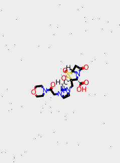 C[C@@]1(Cn2cc[n+](CC(=O)N3CCOCC3)n2)[C@@H](C(=O)O)N2C(=O)C[C@H]2S1(=O)=O